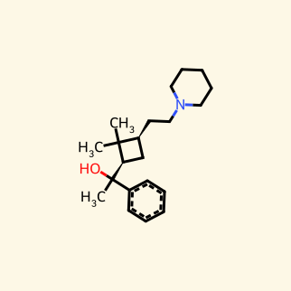 CC(O)(c1ccccc1)[C@@H]1C[C@H](CCN2CCCCC2)C1(C)C